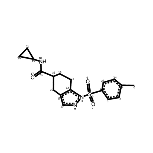 Cc1ccc(S(=O)(=O)n2ncc3c2CCC(C(=O)NC2CC2)C3)cc1